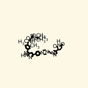 Cc1cc(-c2n[nH]c3ncc(-c4ccc(N5CCN(CCn6cc(C7CCC(=O)NC7=O)cn6)CC5)cc4)cc23)ccc1[C@@H](C)NC(=O)c1noc(C(C)(C)C)n1